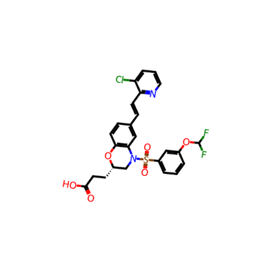 O=C(O)CC[C@H]1CN(S(=O)(=O)c2cccc(OC(F)F)c2)c2cc(/C=C/c3ncccc3Cl)ccc2O1